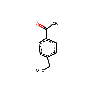 O=[C]Cc1ccc(C(=O)C(F)(F)F)cc1